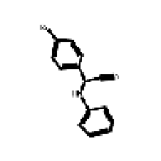 N#CC(Nc1ccccc1)c1ccc(Br)cc1